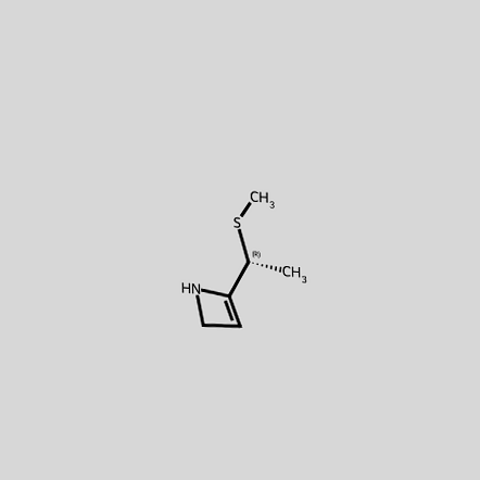 CS[C@H](C)C1=CCN1